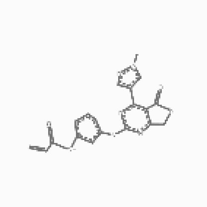 C=CC(=O)Nc1cccc(Nc2nc3c(c(-c4cnn(C)c4)n2)C(=O)NC3)c1